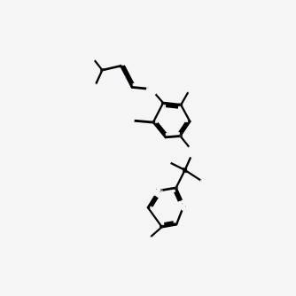 CCCc1cnc(C(F)(F)Oc2cc(F)c(O/C=C/C(F)F)c(F)c2)nc1